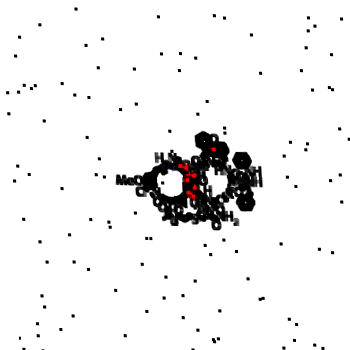 COc1cc2cc(c1Cl)N(C)C(=O)C[C@H](OC(=O)[C@H](C)N(C)C(=O)CCSSC[C@H](NC(=O)[C@@H]1CSSC[C@H](NC(=O)[C@@H](Cc3ccccc3)NC(=O)Nc3ccccc3)C(=O)N[C@@H](Cc3ccc(O)cc3)C(=O)N[C@H](Cc3c[nH]c4ccccc34)C(=O)N[C@@H](CCCCN)C(=O)N[C@@H]([C@@H](C)O)C(=O)N1)C(N)=O)[C@]1(C)CC1[C@H](C)[C@@H]1C[C@@](O)(NC(=O)O1)[C@H](OC)/C=C/C=C(\C)C2